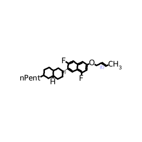 C/C=C/COc1cc(F)c2cc([C@@H]3CC[C@@H]4CC(CCCCC)CCC4C3)c(F)cc2c1